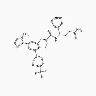 Cn1ccnc1-c1cc2c(c(-c3ccc(C(F)(F)F)cc3)c1)CCN(C(=O)N[C@@H](CCC(N)=O)c1ccccc1)C2